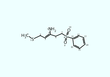 CSCC=C(N)CCS(=O)(=O)c1ccccc1